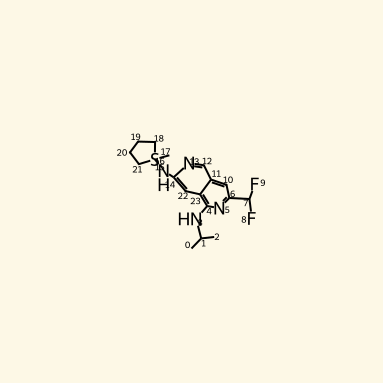 CC(C)Nc1nc(C(F)F)cc2cnc(NS3(C)CCCC3)cc12